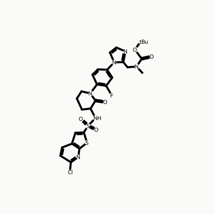 CN(Cc1nccn1-c1ccc(N2CCCC(NS(=O)(=O)c3cc4ccc(Cl)nc4s3)C2=O)c(F)c1)C(=O)OC(C)(C)C